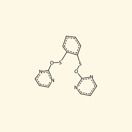 c1cnc(OSc2ccccc2SOc2ncccn2)nc1